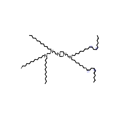 CCCCC/C=C\C/C=C\CCCCCCCCN(CCCCCCCC/C=C\C/C=C\CCCCC)CCN1CCN(CCN(CCCCCCCCCCCC)CCN(CCCCCCCCCCCC)CCCCCCCCCCCC)CC1